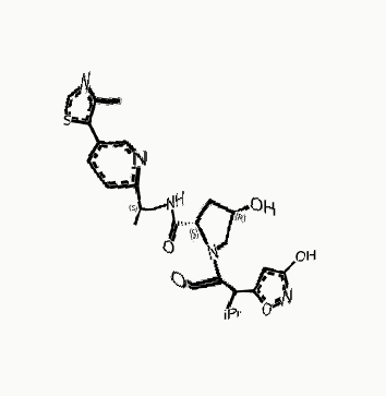 Cc1ncsc1-c1ccc([C@H](C)NC(=O)[C@@H]2C[C@@H](O)CN2C(=O)C(c2cc(O)no2)C(C)C)nc1